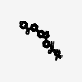 O=C(NCC(F)(F)F)Nc1cccc(-c2cnc3cc(-c4cccc(C(=O)N5CCOCC5)c4)ccn23)c1